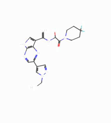 C=C(NC(O)C(=O)N1CCC(F)(F)CC1)c1c[nH]c2ncc(-c3cnn(CC)c3)nc12